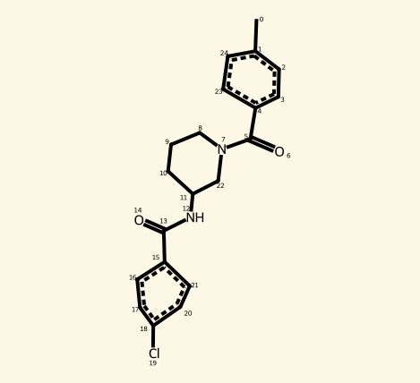 Cc1ccc(C(=O)N2CCCC(NC(=O)c3ccc(Cl)cc3)C2)cc1